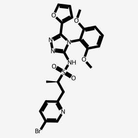 COc1cccc(OC)c1-n1c(NS(=O)(=O)[C@H](C)Cc2ccc(Br)cn2)nnc1-c1ccco1